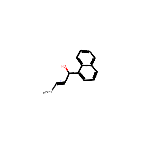 CCCCC/C=C/C(O)c1cccc2ccccc12